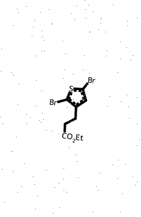 CCOC(=O)CCc1cc(Br)sc1Br